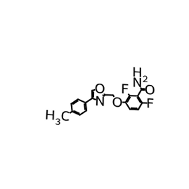 Cc1ccc(-c2coc(COc3ccc(F)c(C(N)=O)c3F)n2)cc1